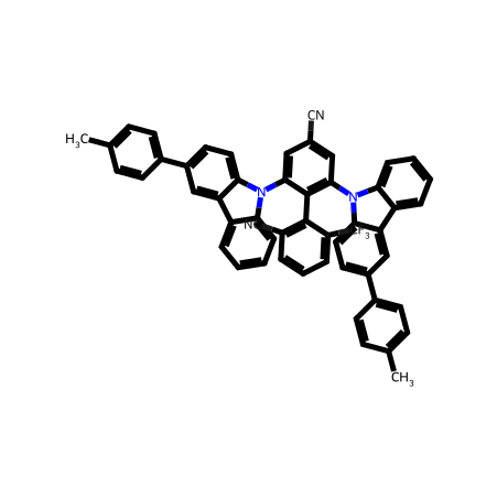 Cc1ccc(-c2ccc3c(c2)c2ccccc2n3-c2cc(C#N)cc(-n3c4ccccc4c4cc(-c5ccc(C)cc5)ccc43)c2-c2c(C#N)cccc2C(F)(F)F)cc1